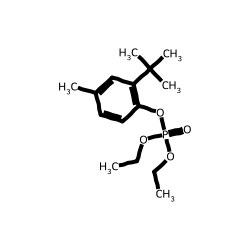 CCOP(=O)(OCC)Oc1ccc(C)cc1C(C)(C)C